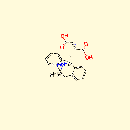 C[C@@]12N[C@@H](Cc3ccccc31)c1ccccc12.O=C(O)/C=C/C(=O)O